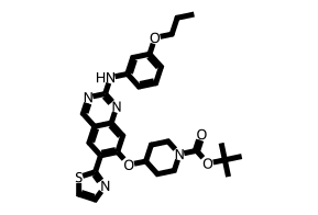 CCCOc1cccc(Nc2ncc3cc(-c4nccs4)c(OC4CCN(C(=O)OC(C)(C)C)CC4)cc3n2)c1